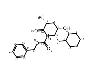 CC(C)[C@@H]1C[C@H](O)[C@H](CC2CCCCC2)N(C(=O)OCc2ccccc2)C1=O